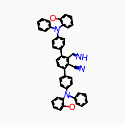 N#Cc1c(-c2ccc(N3c4ccccc4Oc4ccccc43)cc2)ccc(-c2ccc(N3c4ccccc4Oc4ccccc43)cc2)c1C=N